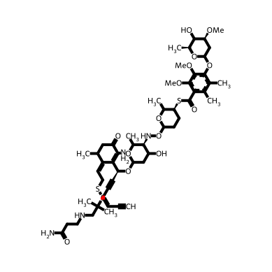 C#C/C=C\C#C[C@H](OC1CC(O)[C@H](NOC2CC[C@H](SC(=O)c3c(C)c(C)c(OC4C[C@H](OC)C(O)[C@H](C)O4)c(OC)c3OC)C(C)O2)C(C)O1)C1=C(N)C(=O)CC(C)/C1=C/CSSC(C)(C)CNCCC(N)=O